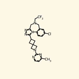 Cc1ccnc(N2CC3(CC(c4nnc5n4-c4ccc(Cl)cc4CN(CC(F)(F)F)C5)C3)C2)n1